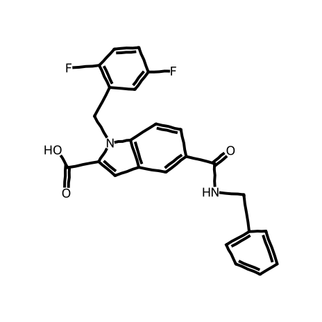 O=C(NCc1ccccc1)c1ccc2c(c1)cc(C(=O)O)n2Cc1cc(F)ccc1F